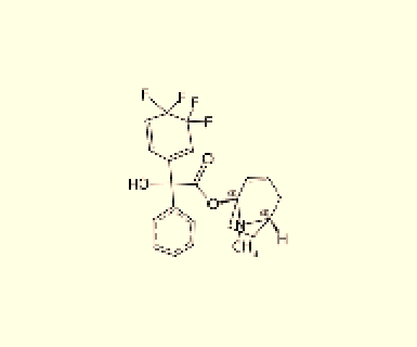 CN1[C@@H]2CC=C[C@@]1(OC(=O)C(O)(C1=CC(F)(F)C(F)(F)C=C1)c1ccccc1)CC2